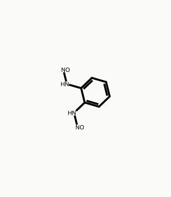 O=NNc1ccccc1NN=O